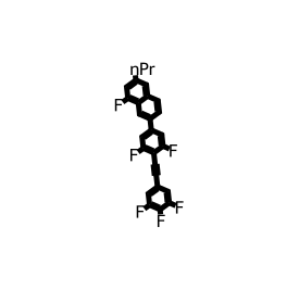 CCCc1cc(F)c2cc(-c3cc(F)c(C#Cc4cc(F)c(F)c(F)c4)c(F)c3)ccc2c1